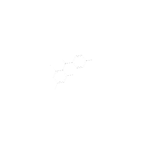 Cc1cc(O)c(C(=O)c2ccc(O)cc2)c(O)c1